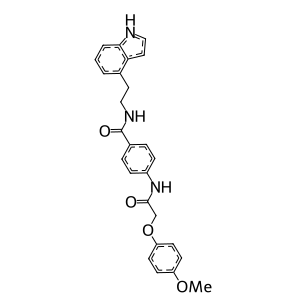 COc1ccc(OCC(=O)Nc2ccc(C(=O)NCCc3cccc4[nH]ccc34)cc2)cc1